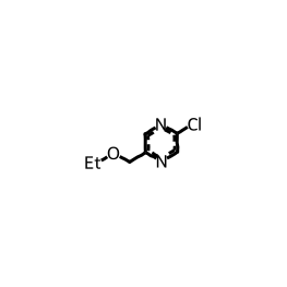 CCOCc1cnc(Cl)cn1